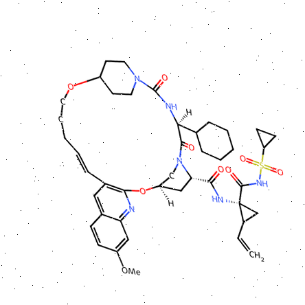 C=CC1C[C@]1(NC(=O)[C@@H]1C[C@@H]2CN1C(=O)[C@H](C1CCCCC1)NC(=O)N1CCC(CC1)OCCC/C=C/c1cc3ccc(OC)cc3nc1O2)C(=O)NS(=O)(=O)C1CC1